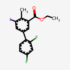 CCOC(=O)c1cc(-c2ccc(F)cc2F)cc(I)c1C